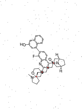 CN1CCC[C@@H]1COc1nc(N2C[C@H]3CC[C@@H](C2)N3C(=O)CCCN2CCOCC2)c2ccc(-c3cc(O)cc4ccccc34)c(F)c2n1